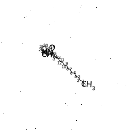 CCCCCCCCCCCCCCCCNC(=O)C1CCCN1C